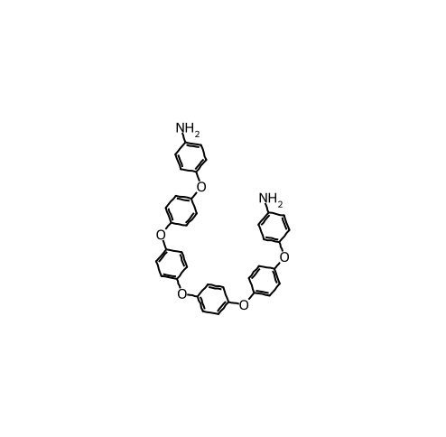 Nc1ccc(Oc2ccc(Oc3ccc(Oc4ccc(Oc5ccc(Oc6ccc(N)cc6)cc5)cc4)cc3)cc2)cc1